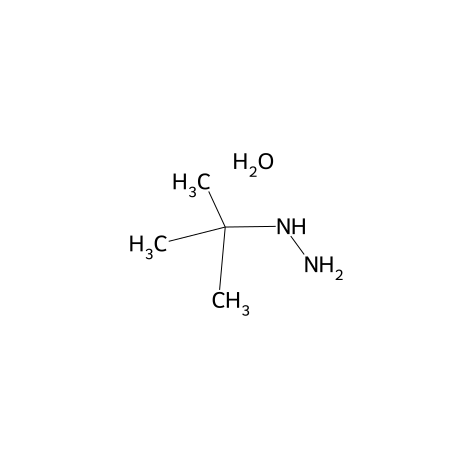 CC(C)(C)NN.O